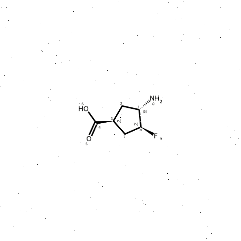 N[C@H]1C[C@H](C(=O)O)C[C@@H]1F